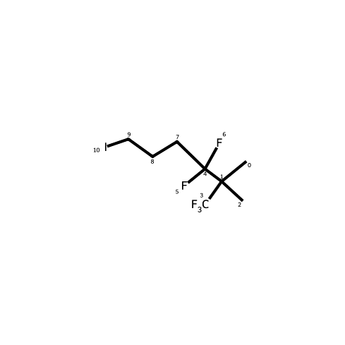 CC(C)(C(F)(F)F)C(F)(F)CCCI